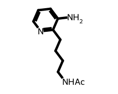 CC(=O)NCCCCc1ncccc1N